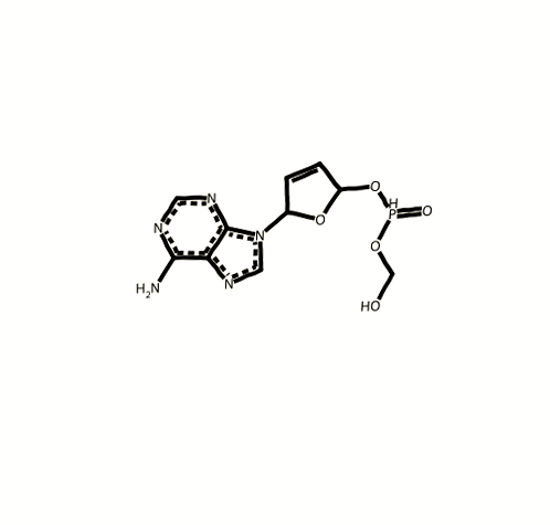 Nc1ncnc2c1ncn2C1C=CC(O[PH](=O)OCO)O1